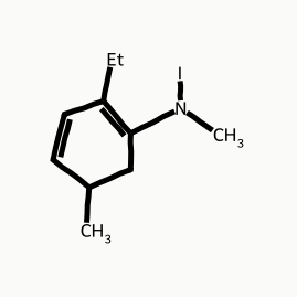 CCC1=C(N(C)I)CC(C)C=C1